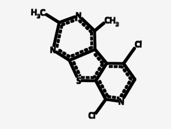 Cc1nc(C)c2c(n1)sc1c(Cl)ncc(Cl)c12